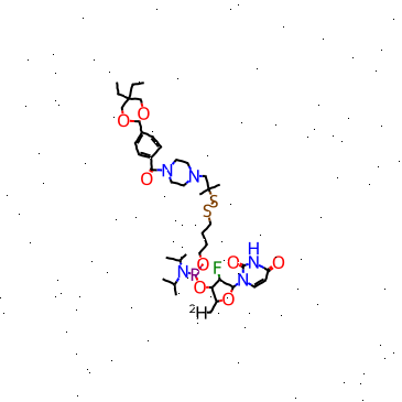 [2H]CC1OC(n2ccc(=O)[nH]c2=O)C(F)C1OP(OCCCCSSC(C)(C)CN1CCN(C(=O)c2ccc(C3OCC(CC)(CC)CO3)cc2)CC1)N(C(C)C)C(C)C